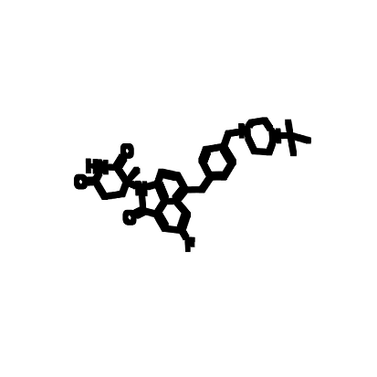 CC(C)(C)N1CCN(Cc2ccc(Cc3ccc4c5c(cc(F)cc35)C(=O)N4[C@]3(C)CCC(=O)NC3=O)cc2)CC1